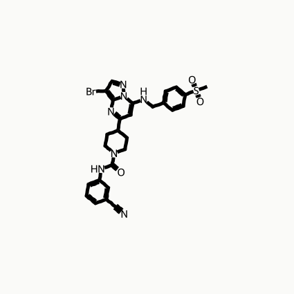 CS(=O)(=O)c1ccc(CNc2cc(C3CCN(C(=O)Nc4cccc(C#N)c4)CC3)nc3c(Br)cnn23)cc1